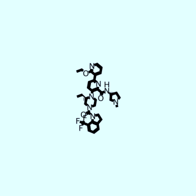 CCOc1ncccc1-c1ccc(N2CCN(C(=O)N3CCc4cccc(C(F)(F)F)c43)C[C@H]2CC)c(C(=O)N[C@H]2CCN(C)C2)n1